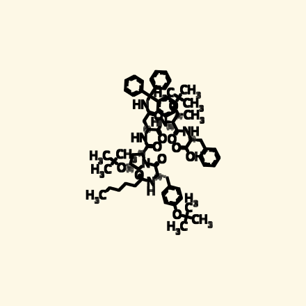 CCCCCC(=O)N[C@@H](Cc1ccc(OC(C)(C)C)cc1)C(=O)N1C[C@H](OC(C)(C)C)C[C@H]1C(=O)N[C@@H](CC(=O)NC(c1ccccc1)(c1ccccc1)c1ccccc1)C(=O)N[C@H](C(=O)N[C@@H](Cc1ccccc1)C(=O)O)[C@@H](C)OC(C)(C)C